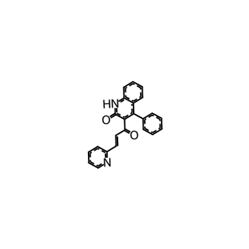 O=C(/C=C/c1ccccn1)c1c(-c2ccccc2)c2ccccc2[nH]c1=O